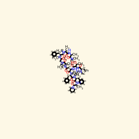 CCN(C)C(=O)[C@H](C)NC(=O)[C@H](C)N(C)C(=O)[C@H](Cc1ccccc1)N(C)C(=O)CN(C)C(=O)[C@H](C)N(C)C(=O)C[C@H](NC(=O)[C@@H](NC(=O)[C@H](CC(C)C)N(C)C(C)=O)[C@@H](C)O)C(=O)N(C)[C@@H](Cc1ccccc1)C(=O)N(C)[C@@H](Cc1ccccc1)C(=O)N[C@@H](C)C(=O)N1CCCCC1